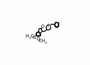 COc1cc2c(cc1OC)C(CC1CCN(Cc3ccccc3)CC1)C(=O)C2